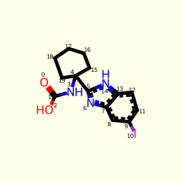 O=C(O)NC1(c2nc3cc(I)ccc3[nH]2)CCCCC1